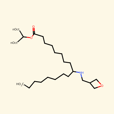 CCCCCCCCC(CCCCCCCC)OC(=O)CCCCCCCC(CCCCCCCC(=O)O)NCC1COC1